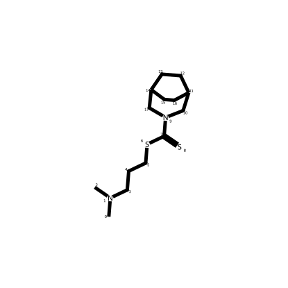 CN(C)CCCSC(=S)N1CC2CCC(CC2)C1